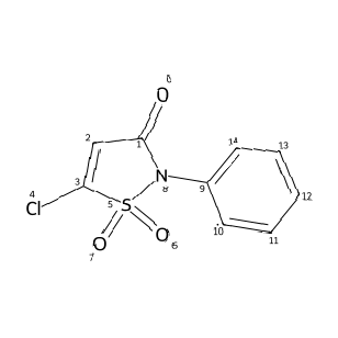 O=C1C=C(Cl)S(=O)(=O)N1c1[c]cccc1